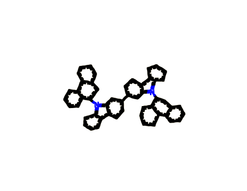 c1ccc2c(c1)cc(-n1c3ccccc3c3ccc(-c4ccc5c6ccccc6n(-c6cc7ccccc7c7ccccc67)c5c4)cc31)c1ccccc12